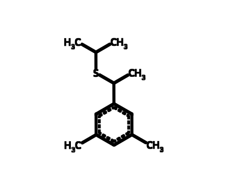 Cc1cc(C)cc(C(C)SC(C)C)c1